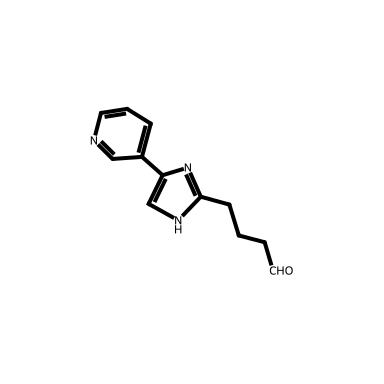 O=CCCCc1nc(-c2cccnc2)c[nH]1